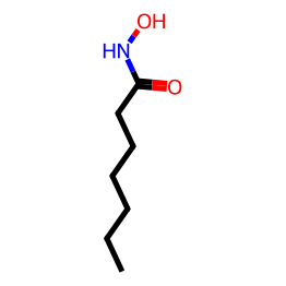 CCCCCCC(=O)NO